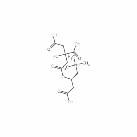 C[N+](C)(C)C[C@@H](CC(=O)O)OC(=O)CC(O)(CC(=O)O)C(=O)O